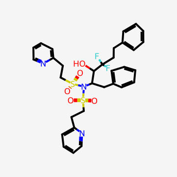 O=S(=O)(CCc1ccccn1)N(C(Cc1ccccc1)C(O)C(F)(F)CCc1ccccc1)S(=O)(=O)CCc1ccccn1